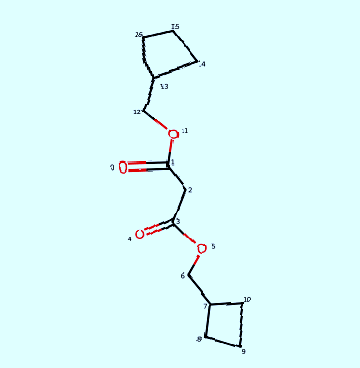 O=C(CC(=O)OCC1CCC1)OCC1CCC1